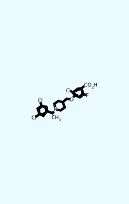 C[C@H](c1cc(Cl)cc(Cl)c1)N1CCC(COc2cc(F)c(C(=O)O)cc2Cl)CC1